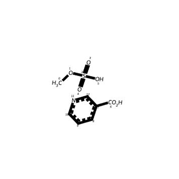 COS(=O)(=O)O.O=C(O)c1cccnc1